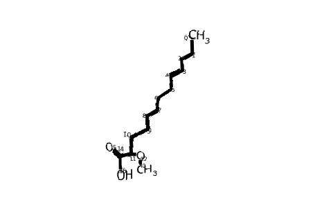 CCCC=CCCCCCCC(OC)C(=O)O